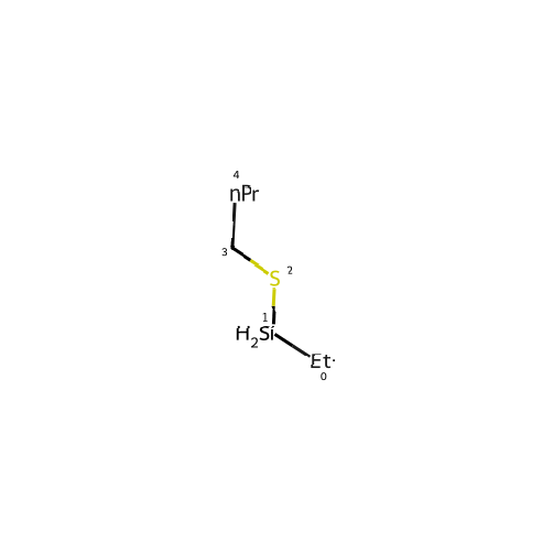 C[CH][SiH2]SCCCC